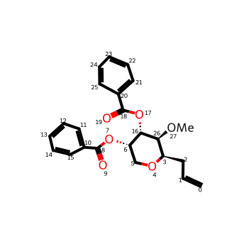 C=CC[C@H]1OC[C@H](OC(=O)c2ccccc2)[C@H](OC(=O)c2ccccc2)[C@H]1OC